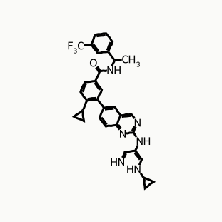 CC(NC(=O)c1ccc(C2CC2)c(-c2ccc3nc(N/C(C=N)=C/NC4CC4)ncc3c2)c1)c1cccc(C(F)(F)F)c1